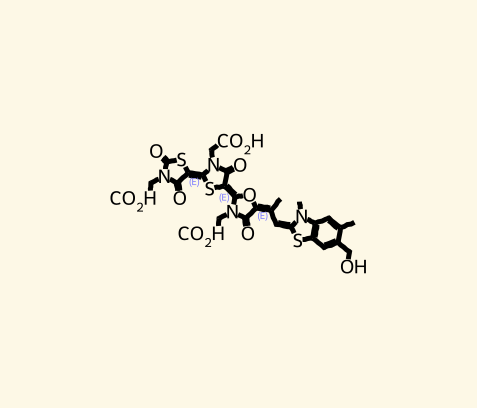 C/C(C=C1Sc2cc(CO)c(C)cc2N1C)=c1\o/c(=c2/s/c(=C3/SC(=O)N(CC(=O)O)C3=O)n(CC(=O)O)c2=O)n(CC(=O)O)c1=O